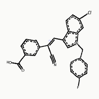 N#C/C(=C\c1cn(Cc2ccc(F)cc2)c2cc(Cl)ccc12)c1cccc(C(=O)O)c1